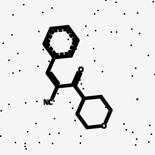 N#C/C(=C/c1ccccc1)C(=O)C1CCOCC1